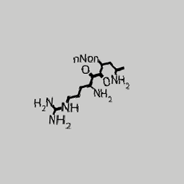 CCCCCCCCCC(CC(C)N)C(=O)C(=O)[C@@H](N)CCCNC(N)N